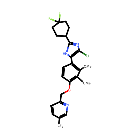 COc1c(OCc2ccc(C(F)(F)F)cn2)ccc(-c2[nH]c(C3CCC(F)(F)CC3)nc2Cl)c1OC